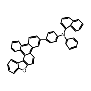 c1ccc(N(c2ccc(-c3ccc4c5ccccc5c5c(ccc6oc7ccccc7c65)c4c3)cc2)c2cccc3ccccc23)cc1